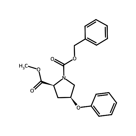 COC(=O)[C@@H]1C[C@H](Oc2ccccc2)CN1C(=O)OCc1ccccc1